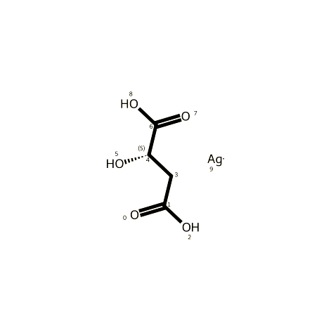 O=C(O)C[C@H](O)C(=O)O.[Ag]